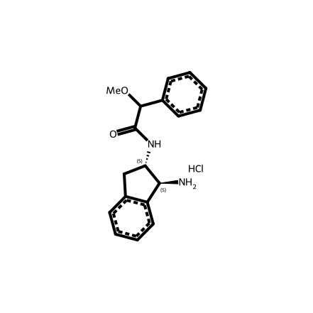 COC(C(=O)N[C@H]1Cc2ccccc2[C@@H]1N)c1ccccc1.Cl